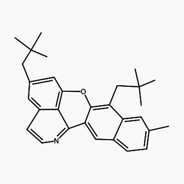 Cc1ccc2cc3c(c(CC(C)(C)C)c2c1)Oc1cc(CC(C)(C)C)cc2ccnc-3c12